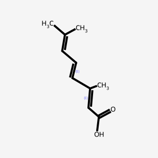 CC(C)=C/C=C/C(C)=C/C(=O)O